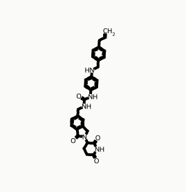 C=CCc1ccc(CNc2ccc(NC(=O)NCc3ccc4c(c3)CN(C3CCC(=O)NC3=O)C4=O)cc2)cc1